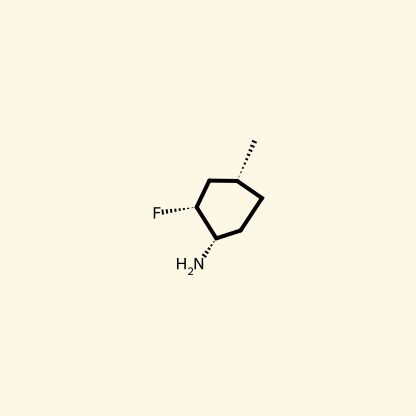 C[C@@H]1CC[C@H](N)[C@H](F)C1